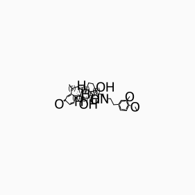 COc1ccc(CCNCC(=O)[C@@]2(O)CC[C@H]3[C@@H]4C[C@H](C)C5=CC(=O)C=C[C@]5(C)[C@H]4[C@@H](O)C[C@@]32C)cc1OC